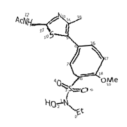 CCN(O)S(=O)(=O)c1cc(-c2sc(NC(C)=O)nc2C)ccc1OC